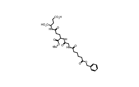 CC(C)(C)OC(=O)C(CCC(=O)NC(CCC(=O)O)C(=O)O)NC(=O)CNC(=O)CCCCC(=O)OCc1ccccc1